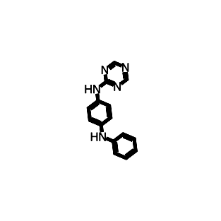 c1ccc(Nc2ccc(Nc3ncncn3)cc2)cc1